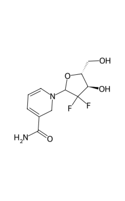 NC(=O)C1=CC=CN(C2O[C@H](CO)[C@@H](O)C2(F)F)C1